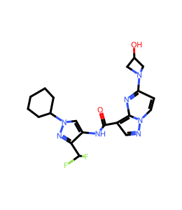 O=C(Nc1cn(C2CCCCC2)nc1C(F)F)c1cnn2ccc(N3CC(O)C3)nc12